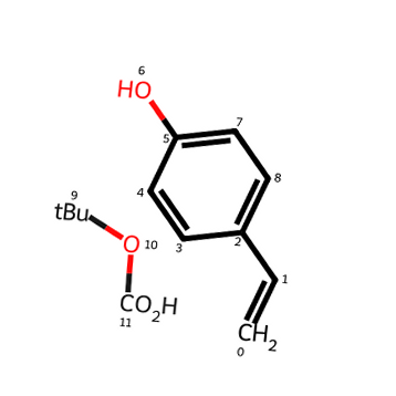 C=Cc1ccc(O)cc1.CC(C)(C)OC(=O)O